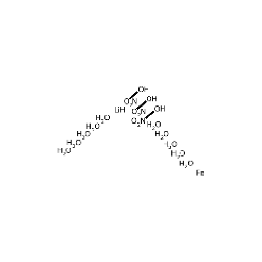 O.O.O.O.O.O.O.O.O.O.O=[N+]([O-])O.O=[N+]([O-])O.O=[N+]([O-])O.[Fe].[LiH]